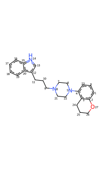 c1cc2c(c(N3CCN(CCCc4c[nH]c5ccccc45)CC3)c1)CCCO2